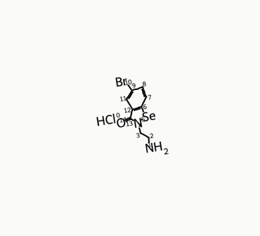 Cl.NCCn1[se]c2ccc(Br)cc2c1=O